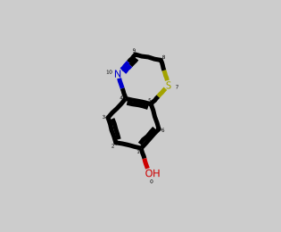 Oc1ccc2c(c1)SCC=N2